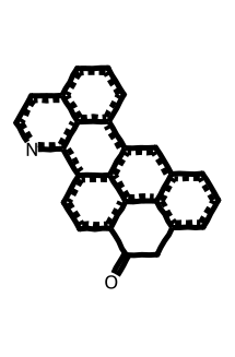 O=C1Cc2cccc3cc4c5cccc6ccnc(c7ccc1c(c23)c47)c65